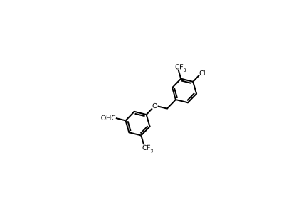 O=Cc1cc(OCc2ccc(Cl)c(C(F)(F)F)c2)cc(C(F)(F)F)c1